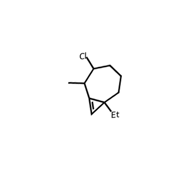 CCC12C=C1C(C)C(Cl)CCC2